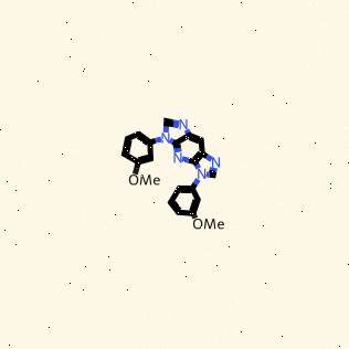 COc1cccc(-n2cnc3cc4ncn(-c5cccc(OC)c5)c4nc32)c1